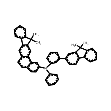 CC1(C)c2ccccc2-c2ccc(-c3cccc(N(c4ccccc4)c4ccc5ccc6cc7c(cc6c5c4)C(C)(C)c4ccccc4-7)c3)cc21